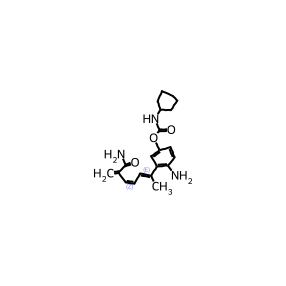 C=C(/C=C\C=C(/C)c1cc(OC(=O)NC2CCCCC2)ccc1N)C(N)=O